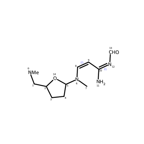 CNCC1CCC(N(C)/C=C\C(N)=N/C=O)O1